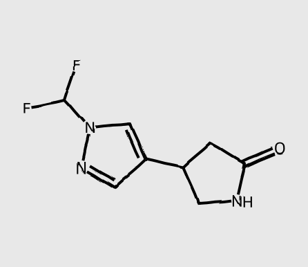 O=C1CC(c2cnn(C(F)F)c2)CN1